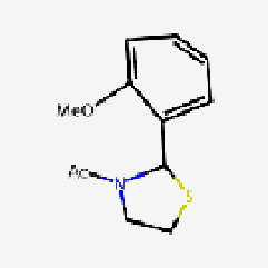 COc1ccccc1C1SCCN1C(C)=O